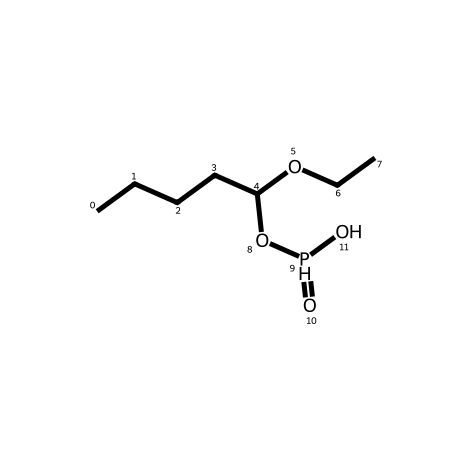 CCCCC(OCC)O[PH](=O)O